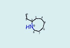 CCC1CCCCCCN1